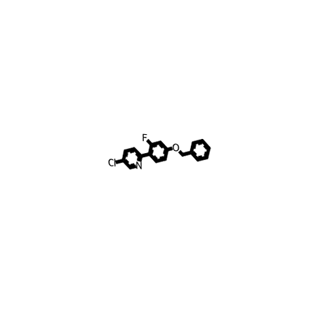 Fc1cc(OCc2ccccc2)ccc1-c1ccc(Cl)cn1